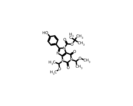 COC(C)n1c(=O)c2c(nc(-c3ccc(O)cc3)n2C(=O)OC(C)(C)C)n(C(C)OC)c1=O